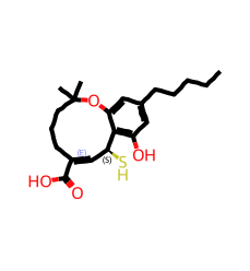 CCCCCc1cc(O)c2c(c1)OC(C)(C)CCC/C(C(=O)O)=C\[C@@H]2S